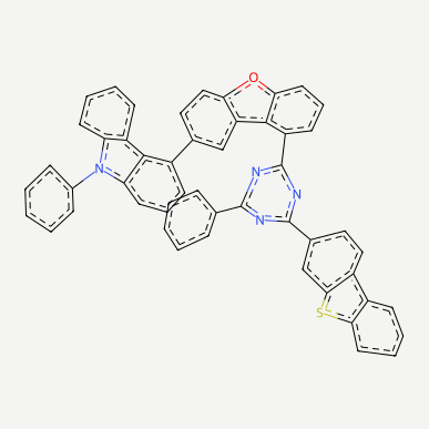 c1ccc(-c2nc(-c3ccc4c(c3)sc3ccccc34)nc(-c3cccc4oc5ccc(-c6cccc7c6c6ccccc6n7-c6ccccc6)cc5c34)n2)cc1